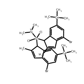 CC1=Cc2c(Br)c[c]([Ge]([CH3])([CH3])[CH3])cc2[CH]1[Zr]([Cl])([Cl])([CH]1C(C)=Cc2c(Br)c[c]([Ge]([CH3])([CH3])[CH3])cc21)[SiH](C)C